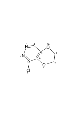 Clc1nncc2c1OCCO2